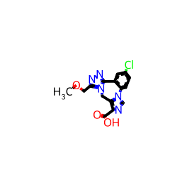 COCc1nnc2n1Cc1c(C(=O)O)ncn1-c1ccc(Cl)cc1-2